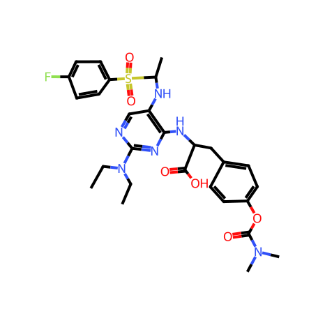 CCN(CC)c1ncc(NC(C)S(=O)(=O)c2ccc(F)cc2)c(NC(Cc2ccc(OC(=O)N(C)C)cc2)C(=O)O)n1